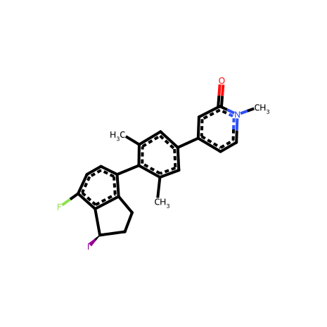 Cc1cc(-c2ccn(C)c(=O)c2)cc(C)c1-c1ccc(F)c2c1CC[C@H]2I